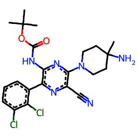 CC1(N)CCN(c2nc(NC(=O)OC(C)(C)C)c(-c3cccc(Cl)c3Cl)nc2C#N)CC1